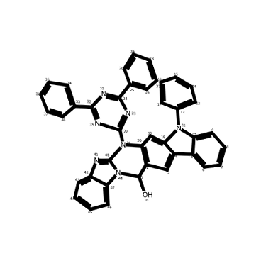 OC1c2cc3c4ccccc4n(-c4ccccc4)c3cc2N(c2nc(-c3ccccc3)nc(-c3ccccc3)n2)c2nc3ccccc3n21